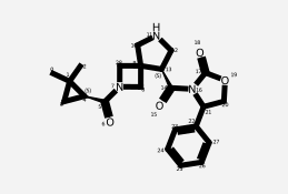 CC1(C)C[C@@H]1C(=O)N1CC2(CNC[C@H]2C(=O)N2C(=O)OCC2c2ccccc2)C1